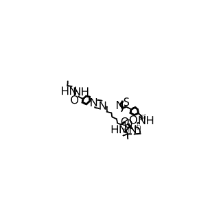 CCCNNC(=O)c1ccc(N2CCN(CCCCCCC(=O)N[C@H](C(=O)N3CCC[C@H]3C(=O)N[C@@H](C)c3ccc(-c4scnc4C)cc3)C(C)(C)C)CC2)cc1